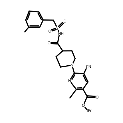 Cc1cccc(CS(=O)(=O)NC(=O)C2CCN(c3nc(C)c(C(=O)OC(C)C)cc3C#N)CC2)c1